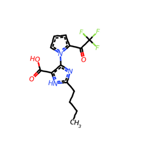 CCCCc1nc(-n2cccc2C(=O)C(F)(F)F)c(C(=O)O)[nH]1